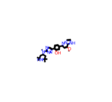 COC1=CC(c2ccc(-c3cnc(N(C)C4CC(C)(C)NC(C)(C)C4)nn3)c(O)c2)=NN2C=CNC12